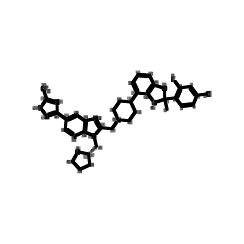 CC1(c2ccc(Cl)cc2F)Oc2cccc(C3CCN(Cc4nc5cc(-c6noc(C(F)(F)F)n6)cnc5n4C[C@@H]4CCCO4)CC3)c2O1